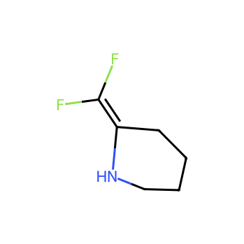 FC(F)=C1CCCCN1